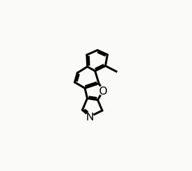 Cc1cccc2ccc3c4c(oc3c12)CN=C4